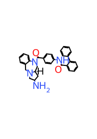 N[C@@H]1C[C@@H]2CN(C(=O)c3ccc(NC(=O)c4ccccc4-c4ccccc4)cc3)c3ccccc3CN2C1